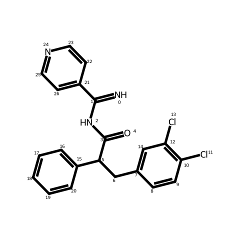 N=C(NC(=O)C(Cc1ccc(Cl)c(Cl)c1)c1ccccc1)c1ccncc1